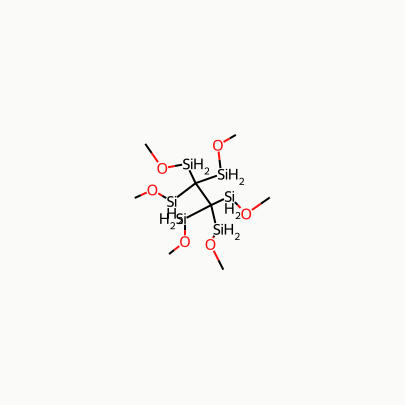 CO[SiH2]C([SiH2]OC)([SiH2]OC)C([SiH2]OC)([SiH2]OC)[SiH2]OC